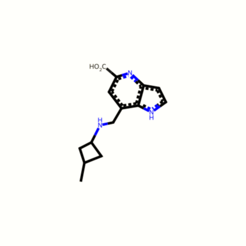 CC1CC(NCc2cc(C(=O)O)nc3cc[nH]c23)C1